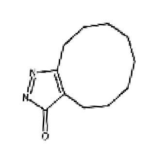 O=C1N=NC2=C1CCCCCCCC2